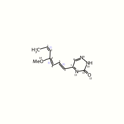 C\C=C/C(=C\C=C\c1cn[nH]c(=O)n1)OC